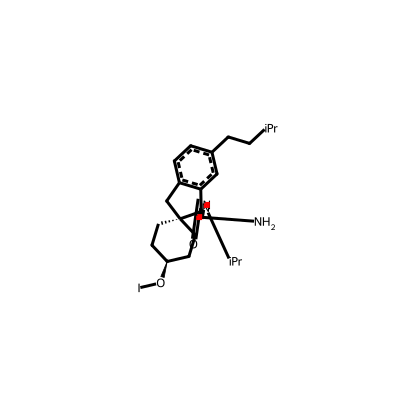 CC(C)CCc1ccc2c(c1)C1(N=C(N)N(C(C)C)C1=O)[C@]1(CC[C@H](OI)CC1)C2